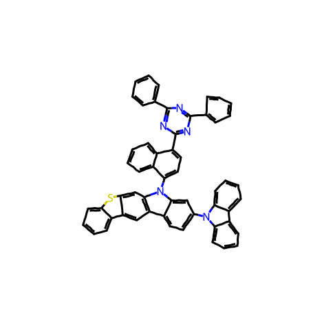 c1ccc(-c2nc(-c3ccccc3)nc(-c3ccc(-n4c5cc(-n6c7ccccc7c7ccccc76)ccc5c5cc6c(cc54)sc4ccccc46)c4ccccc34)n2)cc1